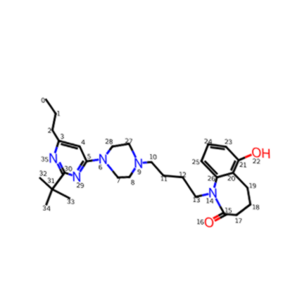 CCCc1cc(N2CCN(CCCCN3C(=O)CCCc4c(O)cccc43)CC2)nc(C(C)(C)C)n1